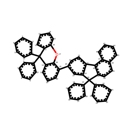 c1ccc(C2(c3ccccc3)c3ccccc3Oc3c(-c4ccc5c(c4)C(c4ccccc4)(c4ccccc4)c4ccc6ccccc6c4-5)cccc32)cc1